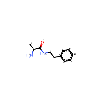 C[C@H](N)C(=O)NCCc1ccccc1